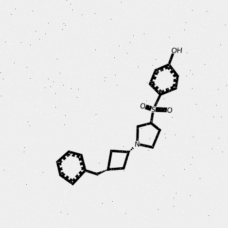 O=S(=O)(c1ccc(O)cc1)C1CCN([C@H]2C[C@H](Cc3ccccc3)C2)C1